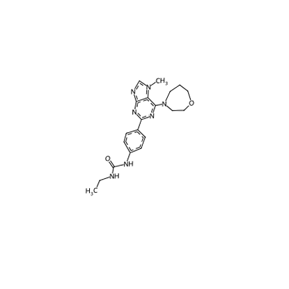 CCNC(=O)Nc1ccc(-c2nc(N3CCCOCC3)c3c(ncn3C)n2)cc1